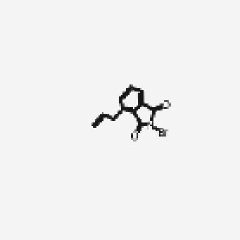 C=CCc1cccc2c1C(=O)N(Br)C2=O